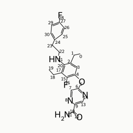 CCc1cc(Oc2cnc(C(N)=O)cn2)c(F)c(CC)c1NCCc1ccc(F)cc1